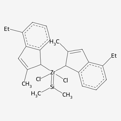 CCc1cccc2c1C=C(C)[CH]2[Zr]([Cl])([Cl])([CH]1C(C)=Cc2c(CC)cccc21)=[Si](C)C